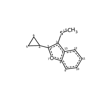 CSc1c(C2CC2)oc2ccccc12